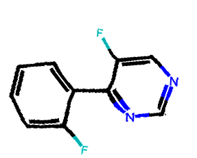 Fc1ccccc1-c1n[c]ncc1F